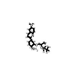 CN(C)c1ccc2nc(-c3ccc(N)c(OCC(CF)O[Si](C)(C)C(C)(C)C)c3)ccc2c1